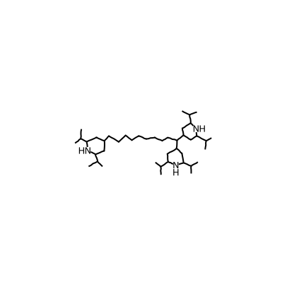 CC(C)C1CC(CCCCCCCCCC(C2CC(C(C)C)NC(C(C)C)C2)C2CC(C(C)C)NC(C(C)C)C2)CC(C(C)C)N1